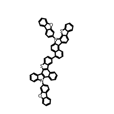 c1ccc2c(c1)oc1cc(-n3c4ccc5c(-c6ccc7sc8c(c7c6)c6ccccc6c6c8c7ccccc7n6-c6ccc7c(c6)oc6ccccc67)cccc5c4c4ccc5c6ccccc6sc5c43)ccc12